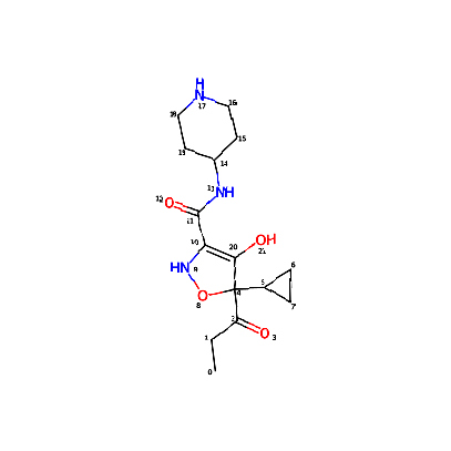 CCC(=O)C1(C2CC2)ONC(C(=O)NC2CCNCC2)=C1O